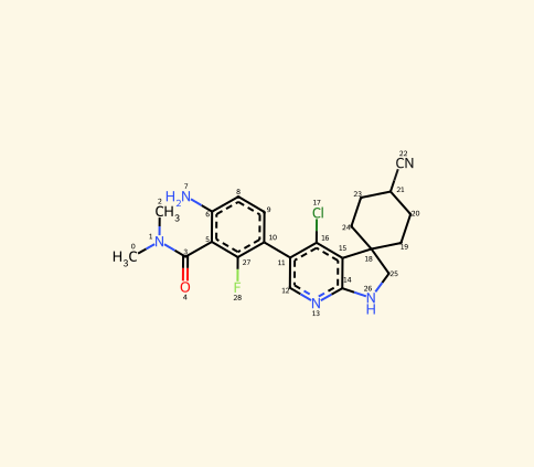 CN(C)C(=O)c1c(N)ccc(-c2cnc3c(c2Cl)C2(CCC(C#N)CC2)CN3)c1F